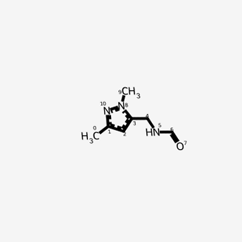 Cc1cc(CNC=O)n(C)n1